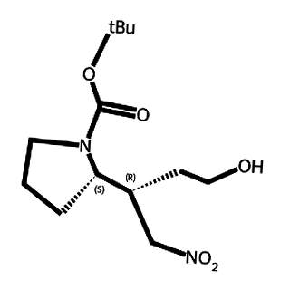 CC(C)(C)OC(=O)N1CCC[C@H]1[C@H](CCO)C[N+](=O)[O-]